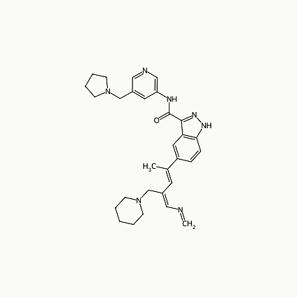 C=N/C=C(\C=C(/C)c1ccc2[nH]nc(C(=O)Nc3cncc(CN4CCCC4)c3)c2c1)CN1CCCCC1